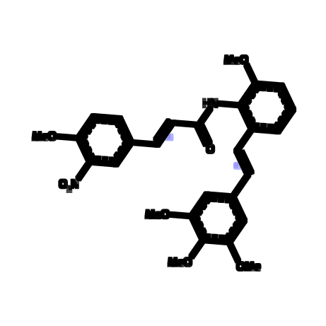 COc1ccc(/C=C/C(=O)Nc2c(/C=C/c3cc(OC)c(OC)c(OC)c3)cccc2OC)cc1[N+](=O)[O-]